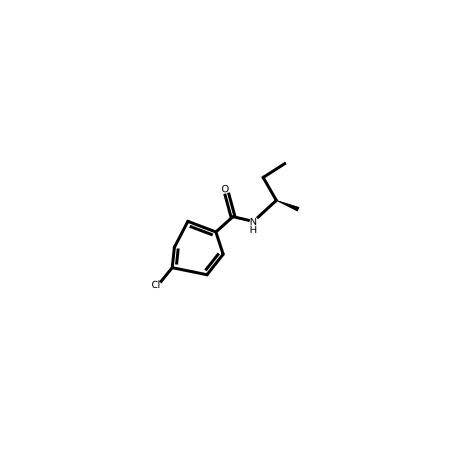 CC[C@@H](C)NC(=O)c1ccc(Cl)cc1